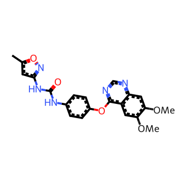 COc1cc2ncnc(Oc3ccc(NC(=O)Nc4cc(C)on4)cc3)c2cc1OC